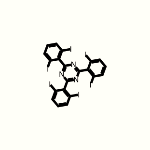 Ic1cccc(I)c1-c1nc(-c2c(I)cccc2I)nc(-c2c(I)cccc2I)n1